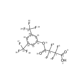 O=C(O)C(F)(F)C(F)(F)C(=O)Oc1cc(C(F)(F)F)cc(C(F)(F)F)c1